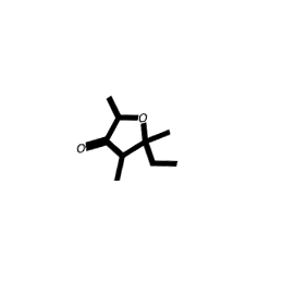 CCC1(C)OC(C)C(=O)C1C